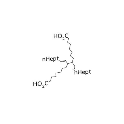 CCCCCCCC=CC(CCCCCCCC(=O)O)C(C=CCCCCCCC)CCCCCCCC(=O)O